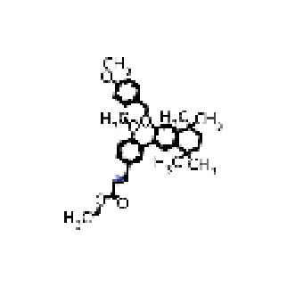 CCOC(=O)/C=C/c1ccc(OC)c(-c2cc3c(cc2OCc2ccc(OC)cc2)C(C)(C)CCC3(C)C)c1